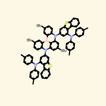 Cc1ccc(N(c2ccc(C)cc2)c2cc(N3c4ccc(C(C)(C)C)cc4B4c5cc(C(C)(C)C)ccc5N(c5cc(N(c6ccc(C)cc6)c6ccc(C)cc6)c6c(c5)sc5ccccc56)c5cc(C(C)(C)C)cc3c54)cc3sc4ccccc4c23)cc1